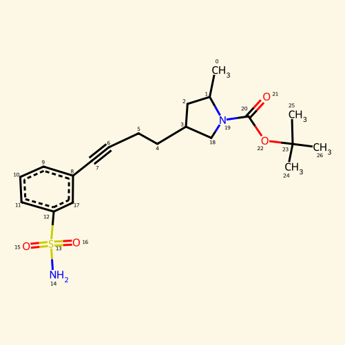 CC1CC(CCC#Cc2cccc(S(N)(=O)=O)c2)CN1C(=O)OC(C)(C)C